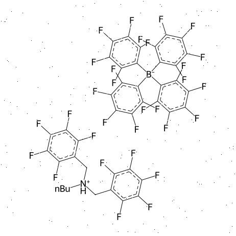 CCCC[NH+](Cc1c(F)c(F)c(F)c(F)c1F)Cc1c(F)c(F)c(F)c(F)c1F.Fc1c(F)c(F)c([B-](c2c(F)c(F)c(F)c(F)c2F)(c2c(F)c(F)c(F)c(F)c2F)c2c(F)c(F)c(F)c(F)c2F)c(F)c1F